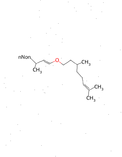 CCCCCCCCCC(C)C=COCCC(C)CCC=C(C)C